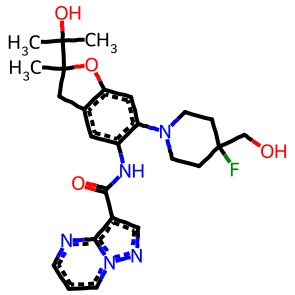 CC(C)(O)C1(C)Cc2cc(NC(=O)c3cnn4cccnc34)c(N3CCC(F)(CO)CC3)cc2O1